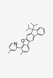 Cc1ccnc(-c2c(C)ccc3c2oc2cc4c(cc23)-c2ccccc2C4(C(C)C)C(C)C)c1